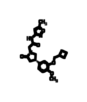 COc1ccc([C@@H]2CC(=O)N(CC(=O)Nc3cc(C)on3)C2)cc1OCC1CCC1